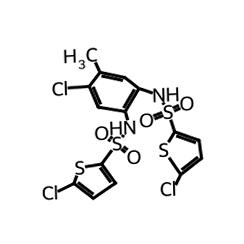 Cc1cc(NS(=O)(=O)c2ccc(Cl)s2)c(NS(=O)(=O)c2ccc(Cl)s2)cc1Cl